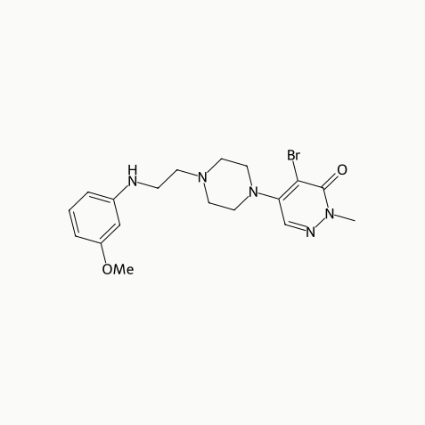 COc1cccc(NCCN2CCN(c3cnn(C)c(=O)c3Br)CC2)c1